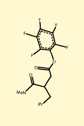 CNC(=O)C(CC(=O)Oc1c(F)c(F)c(F)c(F)c1F)CC(C)C